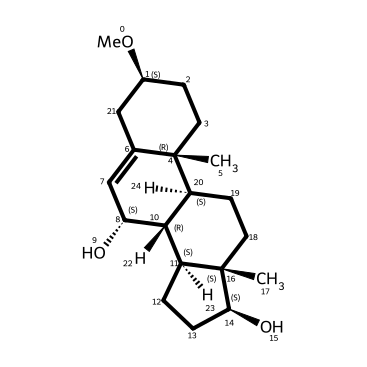 CO[C@H]1CC[C@@]2(C)C(=C[C@@H](O)[C@H]3[C@@H]4CC[C@H](O)[C@@]4(C)CC[C@@H]32)C1